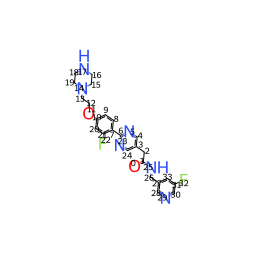 O=C(Cc1cnc(-c2ccc(OCCN3CCNCC3)cc2F)nc1)NCc1cncc(F)c1